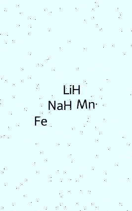 [Fe].[LiH].[Mn].[NaH]